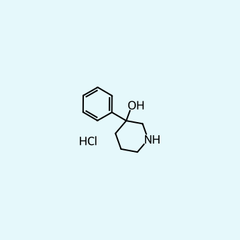 Cl.OC1(c2ccccc2)CCCNC1